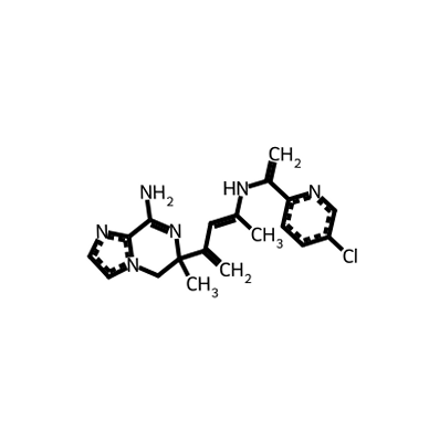 C=C(N/C(C)=C/C(=C)C1(C)Cn2ccnc2C(N)=N1)c1ccc(Cl)cn1